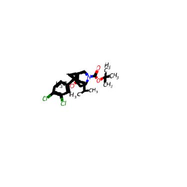 COC(CC(C)C)C12CN(C(=O)OC(C)(C)C)CCC1(c1ccc(Cl)c(Cl)c1)C2